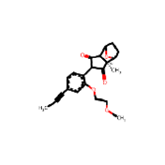 CC#Cc1ccc(C2C(=O)C3C4CCC(O4)[C@@]3(C)C2=O)c(OCCOC)c1